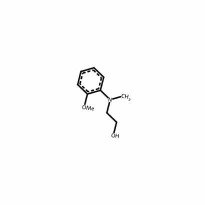 COc1ccccc1N(C)CCO